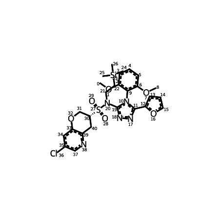 COc1cccc(OC)c1-n1c(-c2ccco2)nnc1N(CC[Si](C)(C)C)S(=O)(=O)[C@H]1COc2cc(Cl)cnc2C1